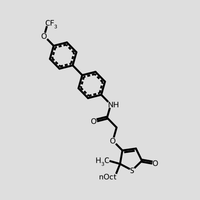 CCCCCCCCC1(C)SC(=O)C=C1OCC(=O)Nc1ccc(-c2ccc(OC(F)(F)F)cc2)cc1